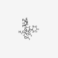 CCC(C)(C)C(=O)OC(CCC(F)(F)CC(F)(F)F)C1CCCCC1